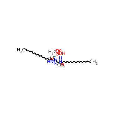 CCCCCCCCCCCCCCCCCC(=O)Nc1nc(C(C)NC(=O)CCCCCCCCCCCCCCCCC)cn1C.COS(=O)(=O)O